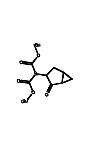 CC(C)(C)OC(=O)N(C(=O)OC(C)(C)C)C1CC2CC2C1=O